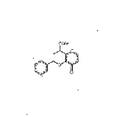 COC(C)c1occc(=O)c1OCc1ccccc1